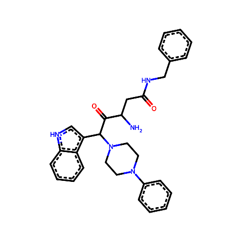 NC(CC(=O)NCc1ccccc1)C(=O)C(c1c[nH]c2ccccc12)N1CCN(c2ccccc2)CC1